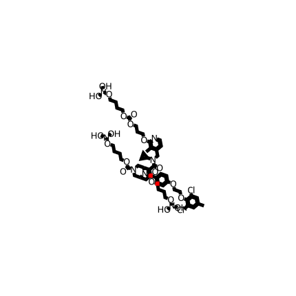 Cc1cc(Cl)c(OCCOc2ccc(C3=C(C(=O)N(Cc4ccnc(OCCCOC(=O)OCCCCON(O)O)c4C)C4CC4)C4CN(C(=O)OCCCCON(O)O)CC(C3)N4C(=O)OCCCCON(O)O)cc2)c(Cl)c1